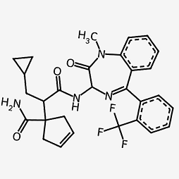 CN1C(=O)C(NC(=O)C(CC2CC2)C2(C(N)=O)CC=CC2)N=C(c2ccccc2C(F)(F)F)c2ccccc21